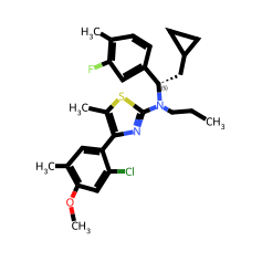 CCCN(c1nc(-c2cc(C)c(OC)cc2Cl)c(C)s1)[C@@H](CC1CC1)c1ccc(C)c(F)c1